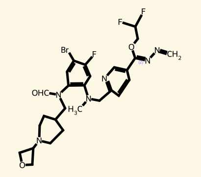 C=N/N=C(\OCC(F)F)c1ccc(CN(C)c2cc(F)c(Br)cc2N(C=O)CC2CCN(C3COC3)CC2)nc1